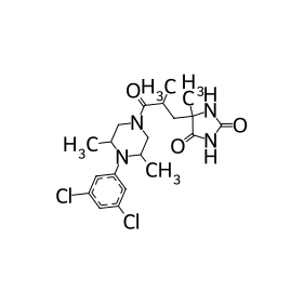 CC(CC1(C)NC(=O)NC1=O)C(=O)N1CC(C)N(c2cc(Cl)cc(Cl)c2)C(C)C1